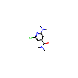 CN(C)C(=O)c1cc(Cl)nc(N(C)C)c1